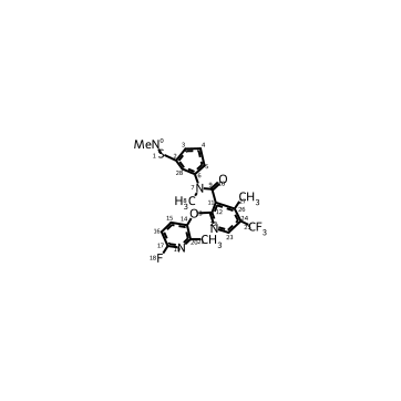 CNSc1cccc(N(C)C(=O)c2c(Oc3ccc(F)nc3C)ncc(C(F)(F)F)c2C)c1